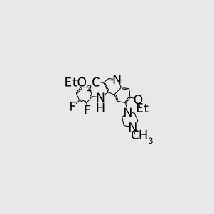 CCOC(=O)c1cnc2cc(OCC)c(N3CCN(C)CC3)cc2c1Nc1cccc(F)c1F